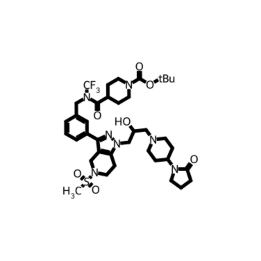 CC(C)(C)OC(=O)N1CCC(C(=O)N(Cc2cccc(-c3nn(CC(O)CN4CCC(N5CCCC5=O)CC4)c4c3CN(S(C)(=O)=O)CC4)c2)C(F)(F)F)CC1